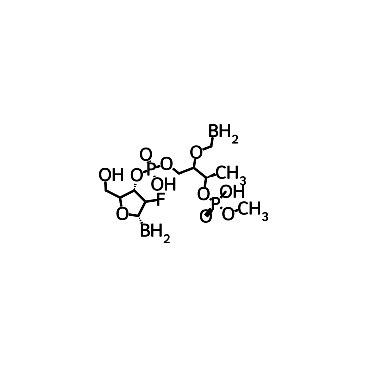 BCOC(COP(=O)(O)O[C@H]1C(CO)O[C@@H](B)C1F)[C@@H](C)OP(=O)(O)OC